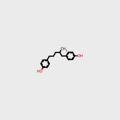 CC(CCCc1ccc(O)cc1)Cc1ccc(O)cc1